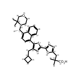 C[C@@H](c1ccc(-c2sc(-c3nnc(CC(C)(C)C(=O)O)o3)nc2CC2CCC2)c2ccccc12)N1CCOCC1(C)C